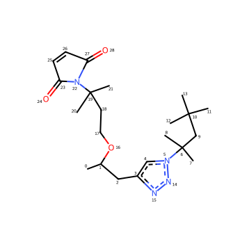 CC(Cc1cn(C(C)(C)CC(C)(C)C)nn1)OCCC(C)(C)N1C(=O)C=CC1=O